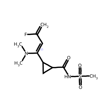 C=C(F)/C=C(/C1CC1C(=O)NS(C)(=O)=O)N(C)C